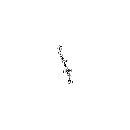 C=C(C)C(=O)OCCOc1ccc(/N=N/c2ccc(/N=N/c3ccc(NNc4ccc(OCCOC(=O)C(=C)C)cc4)cc3)c(F)c2)cc1